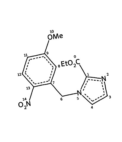 CCOC(=O)c1nccn1Cc1cc(OC)ccc1[N+](=O)[O-]